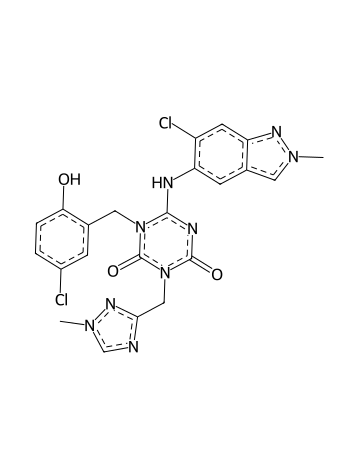 Cn1cnc(Cn2c(=O)nc(Nc3cc4cn(C)nc4cc3Cl)n(Cc3cc(Cl)ccc3O)c2=O)n1